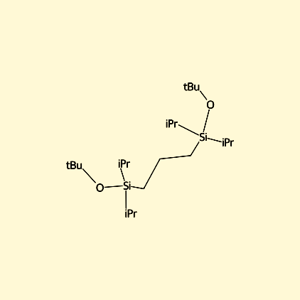 CC(C)[Si](CCC[Si](OC(C)(C)C)(C(C)C)C(C)C)(OC(C)(C)C)C(C)C